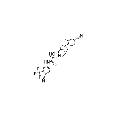 Cc1cc(C#N)ccc1C12CC3CN(CC(C)(O)C(=O)Nc4ccc(C#N)c(C(F)(F)F)c4)CC(C1)C32